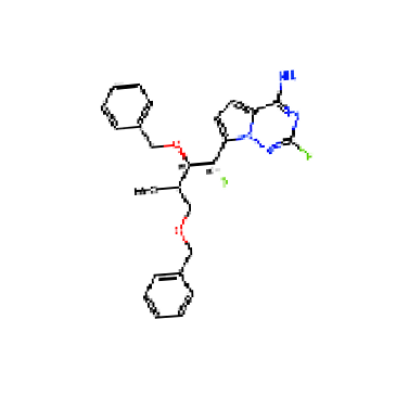 COC(COCc1ccccc1)[C@@H](OCc1ccccc1)[C@@H](F)c1ccc2c(N)nc(F)nn12